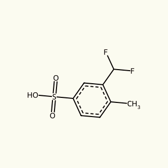 Cc1ccc(S(=O)(=O)O)cc1C(F)F